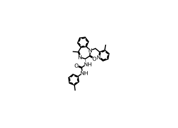 CC1=N[C@@H](NC(=O)Nc2cccc(C)c2)C(=O)N(Cc2ncccc2C)c2ccccc21